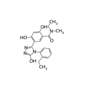 CCc1ccccc1-n1c(O)nnc1-c1cc(C(=O)N(C)CC)c(O)cc1O